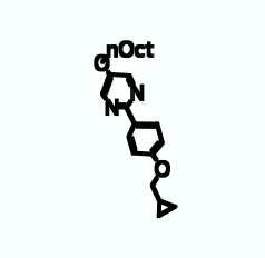 CCCCCCCCOc1cnc(-c2ccc(OCC3CC3)cc2)nc1